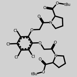 CC(C)(C)OC(=O)C1CCCN1C(=O)COc1c(Cl)c(Cl)c(Cl)c(Cl)c1OCC(=O)N1CCCC1C(=O)OC(C)(C)C